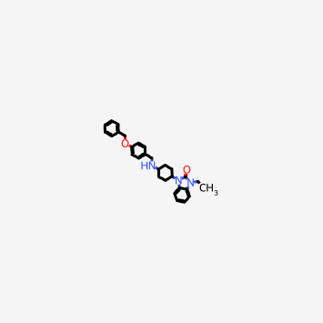 CCn1c(=O)n(C2CCC(NCc3ccc(OCc4ccccc4)cc3)CC2)c2ccccc21